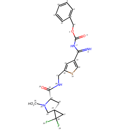 N=C(NC(=O)OCc1ccccc1)c1csc(CNC(=O)[C@@H]2C[C@]3(CN2C(=O)O)CC3(F)F)c1